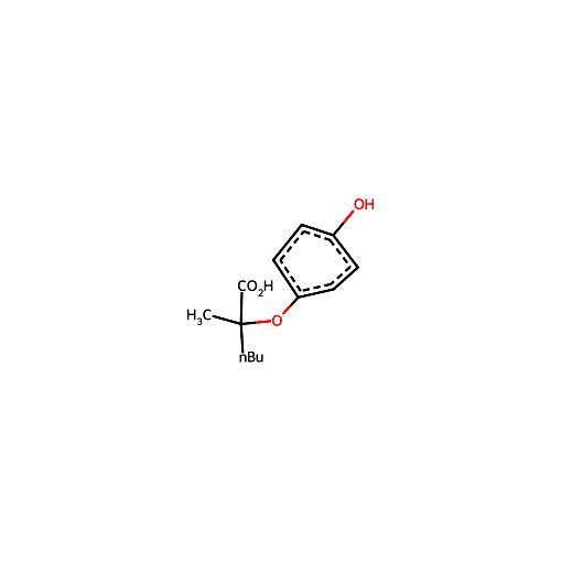 CCCCC(C)(Oc1ccc(O)cc1)C(=O)O